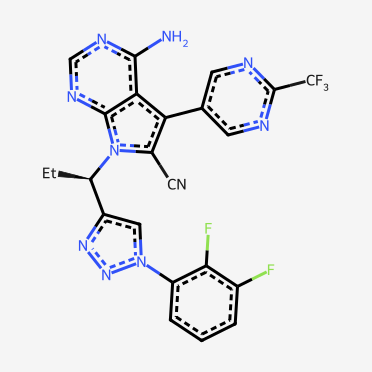 CC[C@H](c1cn(-c2cccc(F)c2F)nn1)n1c(C#N)c(-c2cnc(C(F)(F)F)nc2)c2c(N)ncnc21